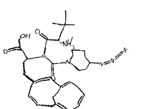 CC(C)(C)[C@H](N)C(=O)N(C(=O)N1CCC(N=[N+]=[N-])C1)C(Cc1ccc2ccccc2c1)C(=O)O